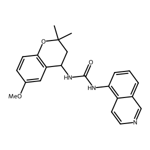 COc1ccc2c(c1)C(NC(=O)Nc1cccc3cnccc13)CC(C)(C)O2